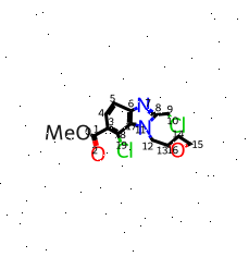 COC(=O)c1ccc2nc(CCl)n(CC3CCO3)c2c1Cl